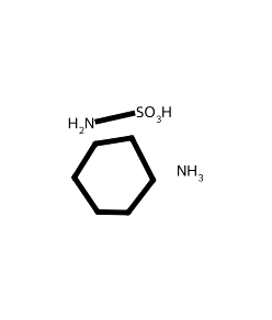 C1CCCCC1.N.NS(=O)(=O)O